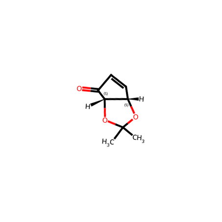 CC1(C)O[C@H]2C=CC(=O)[C@H]2O1